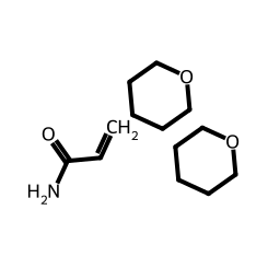 C1CCOCC1.C1CCOCC1.C=CC(N)=O